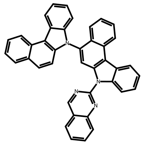 c1ccc2nc(-n3c4ccccc4c4c5ccccc5c(-n5c6ccccc6c6c7ccccc7ccc65)cc43)ncc2c1